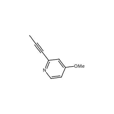 CC#Cc1cc(OC)ccn1